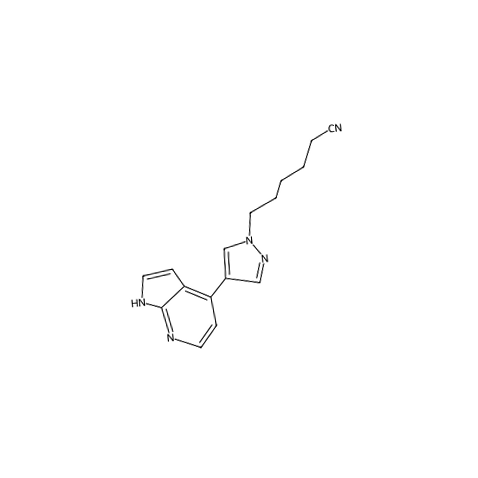 N#CCCCCCn1cc(-c2ccnc3[nH]ccc23)cn1